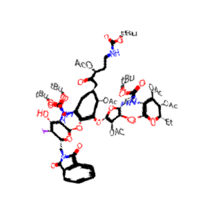 CC[C@@H]1O[C@H](O[C@H]2[C@@H](OC(C)=O)[C@H](O[C@@H]3[C@@H](OC(C)=O)[C@H](CC(=O)[C@H](CCNC(=O)OC(C)(C)C)OC(C)=O)C[C@H](NC(=O)OC(C)(C)C)[C@H]3O[C@H]3O[C@H](CN4C(=O)c5ccccc5C4=O)[C@@H](I)[C@H](O)[C@H]3NC(=O)OC(C)(C)C)O[C@@H]2CC)[C@H](NC(=O)OC(C)(C)C)[C@@H](OC(C)=O)[C@@H]1OC(C)=O